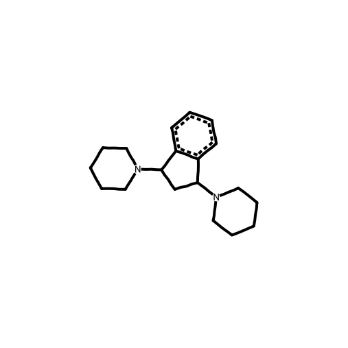 c1ccc2c(c1)C(N1CCCCC1)CC2N1CCCCC1